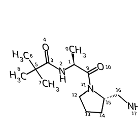 C[C@H](NC(=O)C(C)(C)C)C(=O)N1CCC[C@H]1CN